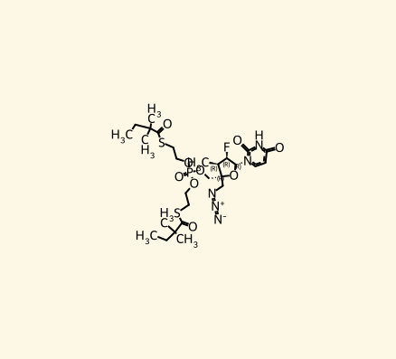 CCC(C)(C)C(=O)SCCOP(=O)(OCCSC(=O)C(C)(C)CC)OC[C@@]1(CN=[N+]=[N-])O[C@@H](n2ccc(=O)[nH]c2=O)[C@H](F)[C@@H]1C